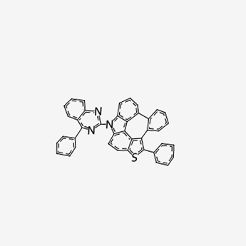 c1ccc(-c2sc3ccc4c5c3c2-c2ccccc2-c2cccc(c25)n4-c2nc(-c3ccccc3)c3ccccc3n2)cc1